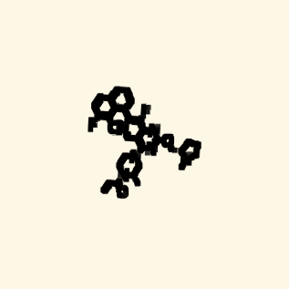 C=CC(=O)N1CCN(c2nc(OC[C@@H]3CCCN3C)nc3c(F)c(-c4cccc5ccc(F)c(Cl)c45)ncc23)C[C@H]1C